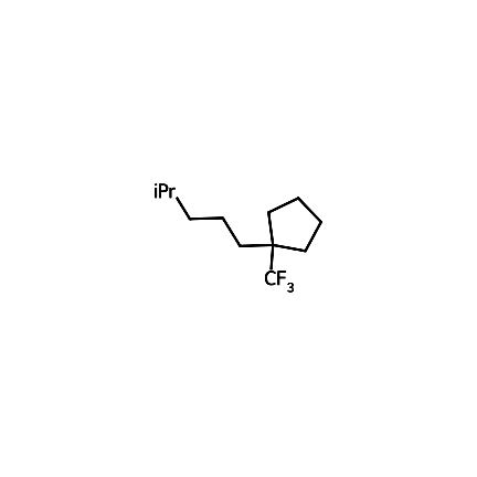 CC(C)CCCC1(C(F)(F)F)CCCC1